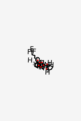 Cc1nnc(N2C[C@H]3CC[C@@H](C2)[C@@H]3Nc2nc3c(OCCCC(F)(F)F)cccn3n2)o1